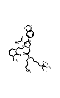 CCCCN(CCCC[N+](C)(C)C)C(=O)CN1C[C@H](c2ccc3c(c2)OCO3)[C@@H](C(=O)O)[C@@H]1CCN1CCCN(C)C1=O